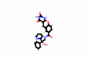 O=C(NCC(O)(c1ccccc1)c1ccccn1)c1ccc2c(c1)Cc1c([nH]c(=O)[nH]c1=O)O2